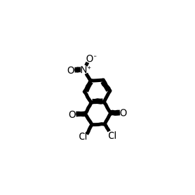 O=C1c2ccc([N+](=O)[O-])cc2C(=O)C(Cl)C1Cl